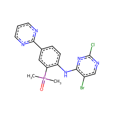 CP(C)(=O)c1cc(-c2ncccn2)ccc1Nc1nc(Cl)ncc1Br